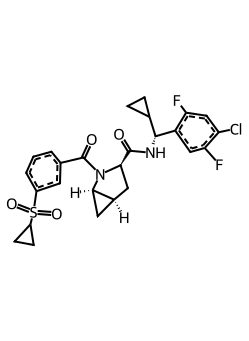 O=C(N[C@@H](c1cc(F)c(Cl)cc1F)C1CC1)[C@H]1C[C@H]2C[C@H]2N1C(=O)c1cccc(S(=O)(=O)C2CC2)c1